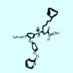 COc1ccc(S(=O)(=O)C(CCCCc2ccccc2)CC(=O)NO)cc1O[C@@H]1CC[C@H](Oc2ccccn2)C1